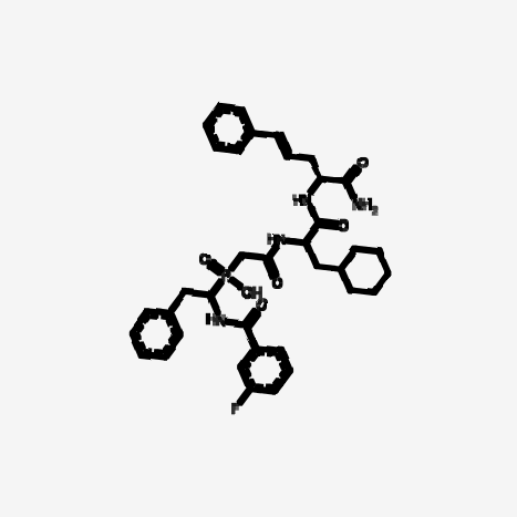 NC(=O)[C@H](C/C=C/c1ccccc1)NC(=O)C(CC1CCCCC1)NC(=O)CP(=O)(O)C(Cc1ccccc1)NC(=O)c1cccc(F)c1